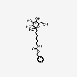 O=C(NCCCCCC[C@]1(O)O[C@H](CO)[C@H](O)[C@H](O)[C@H]1O)OCc1ccccc1